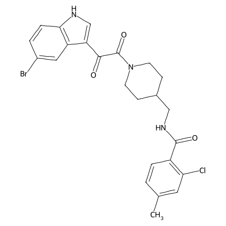 Cc1ccc(C(=O)NCC2CCN(C(=O)C(=O)c3c[nH]c4ccc(Br)cc34)CC2)c(Cl)c1